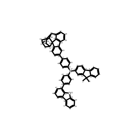 CC1(C)c2ccccc2-c2ccc(N(c3ccc(-c4ccc5c(c4)-c4cccc6c4C54C5CC7CC(C5)C6C4C7)cc3)c3ccc(-c4cccc5c4oc4ccccc45)cc3)cc21